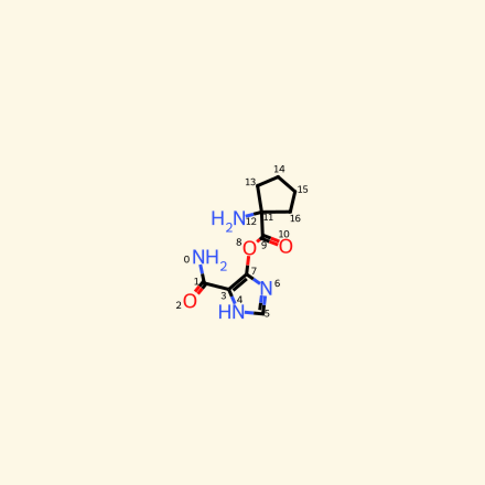 NC(=O)c1[nH]cnc1OC(=O)C1(N)CCCC1